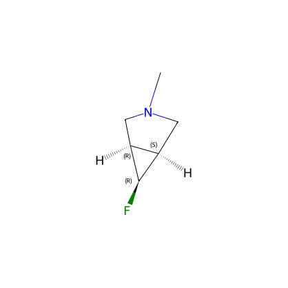 CN1C[C@@H]2[C@H](F)[C@@H]2C1